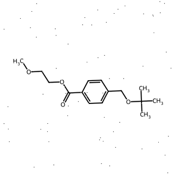 COCCOC(=O)c1ccc(COC(C)(C)C)cc1